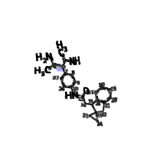 CC(=N)/C(=C(/C)N)c1ccc(NC(=O)CC2c3ccccc3CC23CC3)cc1